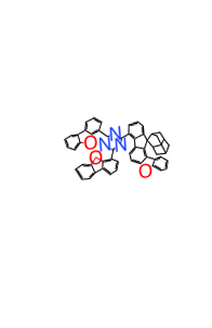 c1cc(-c2nc(-c3cccc4c3oc3ccccc34)nc(-c3cccc4c3oc3ccccc34)n2)c2c(c1)C1(c3c-2ccc2oc4ccccc4c32)C2CC3CC(C2)CC1C3